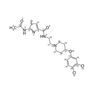 CC(=O)Nc1nc(C(=O)NCCN2CCC(Oc3ccc(Cl)c(Cl)c3)CC2)cs1